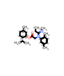 CC/C(=N\C)N(CC(=O)O[C@@H]1C[C@H](C)CC[C@H]1C(C)C)c1cc(C)ccc1C